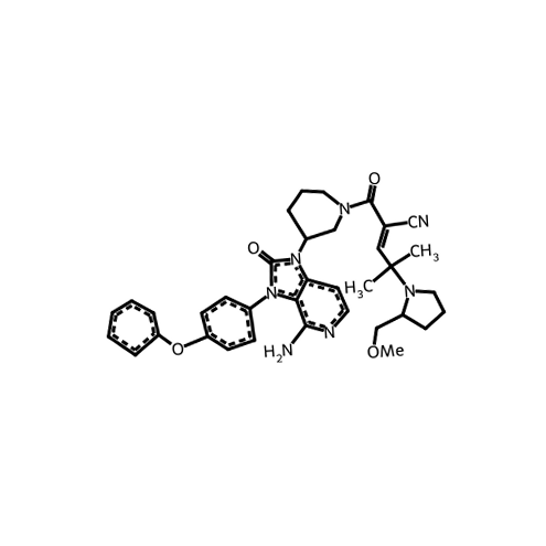 COCC1CCCN1C(C)(C)C=C(C#N)C(=O)N1CCCC(n2c(=O)n(-c3ccc(Oc4ccccc4)cc3)c3c(N)nccc32)C1